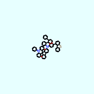 c1ccc(-c2ccccc2-c2ccccc2N(c2ccc(-c3cccc4sc5ccccc5c34)cc2)c2ccc3c(c2)C2(c4ccccc4-3)c3ccccc3N(c3ccccc3)c3ccccc32)cc1